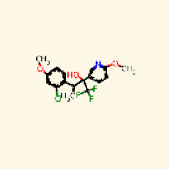 COc1ccc(C(C)C(O)(c2ccc(OC)nc2)C(F)(F)F)c(Cl)c1